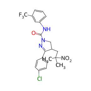 CC(C)(CC1CN(C(=O)Nc2cccc(C(F)(F)F)c2)N=C1c1ccc(Cl)cc1)[N+](=O)[O-]